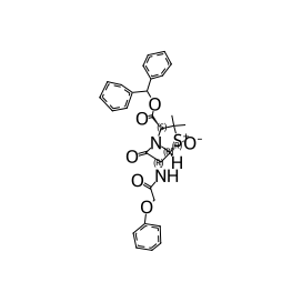 CC1(C)[C@H](C(=O)OC(c2ccccc2)c2ccccc2)N2C(=O)[C@@H](NC(=O)COc3ccccc3)[C@H]2[S@@+]1[O-]